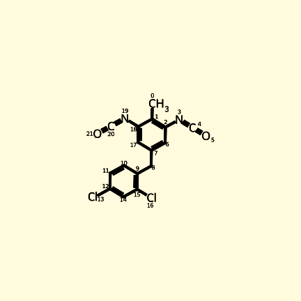 Cc1c(N=C=O)cc(Cc2ccc(Cl)cc2Cl)cc1N=C=O